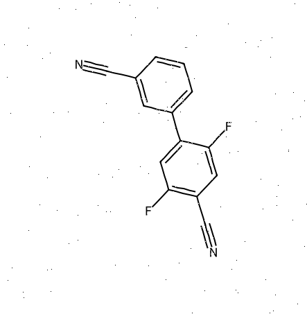 N#Cc1cccc(-c2cc(F)c(C#N)cc2F)c1